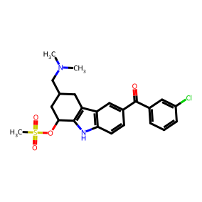 CN(C)CC1Cc2c([nH]c3ccc(C(=O)c4cccc(Cl)c4)cc23)C(OS(C)(=O)=O)C1